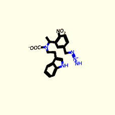 CC(c1cc(CN=[N+]=N)ccc1[N+](=O)[O-])N(CCc1c[nH]c2ccccc12)C(=O)[O-]